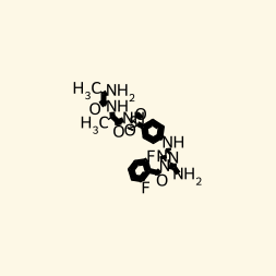 C[C@H](N)C(=O)N[C@@H](C)C(=O)NS(=O)(=O)c1ccc(Nc2nc(N)n(C(=O)c3c(F)cccc3F)n2)cc1